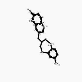 Cc1ccc2c(c1)OCC(Cc1cnc3ccc(=O)[nH]c3c1)CN2